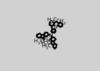 CC1(C)C2=CC(N(C3=CC4=C(CC3)C3=C(C=CCC3)C4(C)C)c3ccc4c(c3)c3ccnc5c3n4-c3ccccc3C5(C)C)CC=C2C2CC=CC=C21